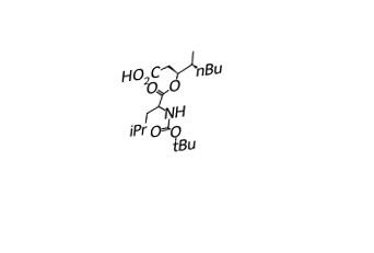 CCCC[C@H](C)[C@H](CC(=O)O)OC(=O)C(CC(C)C)NC(=O)OC(C)(C)C